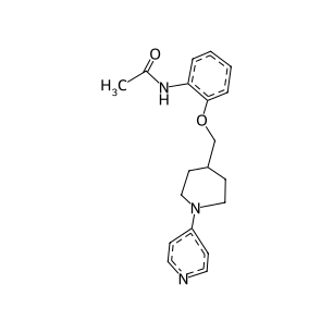 CC(=O)Nc1ccccc1OCC1CCN(c2ccncc2)CC1